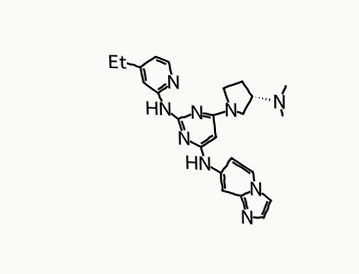 CCc1ccnc(Nc2nc(Nc3ccn4ccnc4c3)cc(N3CC[C@H](N(C)C)C3)n2)c1